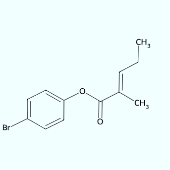 CCC=C(C)C(=O)Oc1ccc(Br)cc1